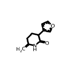 C=C1CCC(c2ccoc2)C(=O)N1